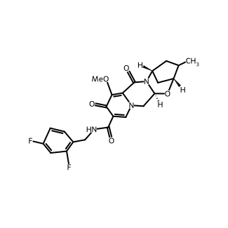 COc1c2n(cc(C(=O)NCc3ccc(F)cc3F)c1=O)C[C@@H]1O[C@@H]3C[C@@H](CC3C)N1C2=O